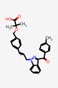 Cc1ccc(C(=O)c2nn(C/C=C/c3ccc(COC(C)(C)C(=O)O)cc3)c3ccccc23)cc1